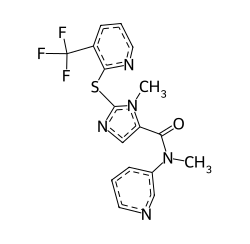 CN(C(=O)c1cnc(Sc2ncccc2C(F)(F)F)n1C)c1cccnc1